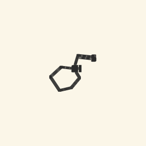 S=C[SH]1CCCCC1